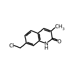 Cc1cc2ccc(CCl)cc2[nH]c1=O